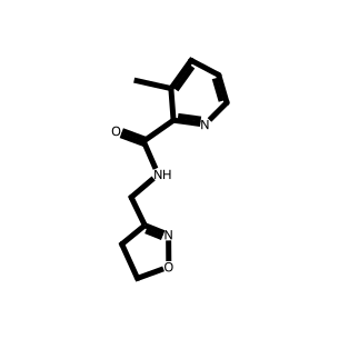 Cc1cccnc1C(=O)NCC1=NOCC1